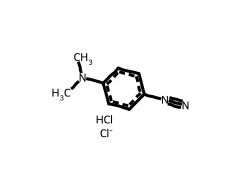 CN(C)c1ccc([N+]#N)cc1.Cl.[Cl-]